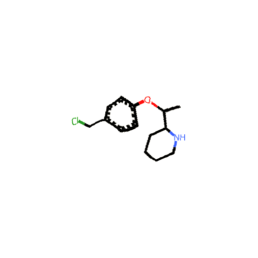 CC(Oc1ccc(CCl)cc1)C1CCCCN1